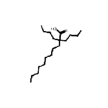 CCCCCCCCCC(CCCC)(CCCC)C(=O)O